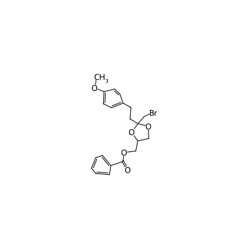 COc1ccc(CCC2(CBr)OCC(COC(=O)c3ccccc3)O2)cc1